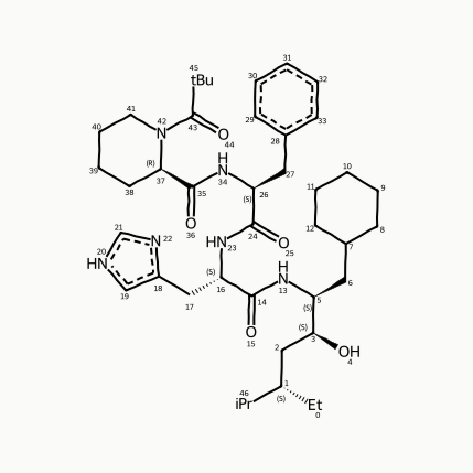 CC[C@@H](C[C@H](O)[C@H](CC1CCCCC1)NC(=O)[C@H](Cc1c[nH]cn1)NC(=O)[C@H](Cc1ccccc1)NC(=O)[C@H]1CCCCN1C(=O)C(C)(C)C)C(C)C